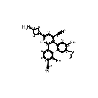 COc1ccc(-c2c(C#N)cc(N3CC(N)C3)nc2-c2ccc(C#N)c(F)c2)cc1F